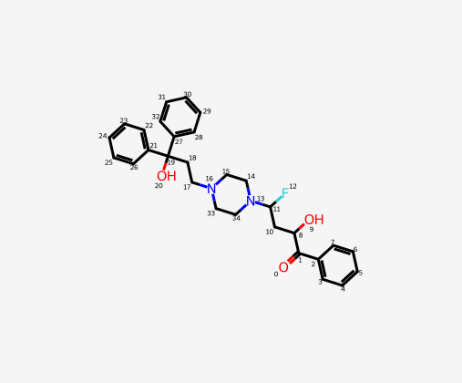 O=C(c1ccccc1)C(O)CC(F)N1CCN(CCC(O)(c2ccccc2)c2ccccc2)CC1